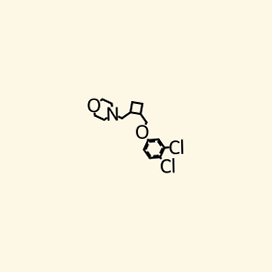 Clc1ccc(OCC2CCC2CN2CCOCC2)cc1Cl